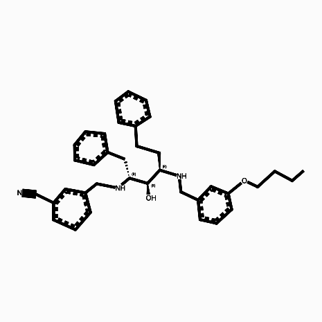 CCCCOc1cccc(CN[C@H](CCc2ccccc2)[C@@H](O)[C@@H](Cc2ccccc2)NCc2cccc(C#N)c2)c1